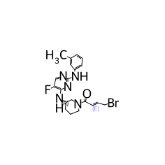 Cc1cccc(Nc2ncc(F)c(N[C@@H]3CCCN(C(=O)/C=C/CBr)C3)n2)c1